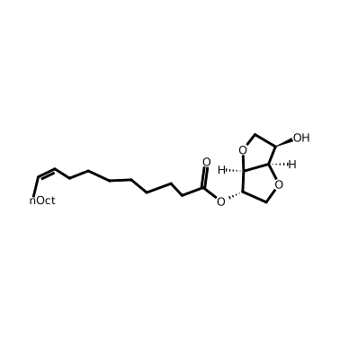 CCCCCCCC/C=C\CCCCCCCC(=O)O[C@H]1CO[C@H]2[C@@H]1OC[C@H]2O